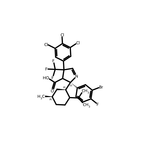 CC(C)C1CC[C@@H](C)C[C@H]1[C@]1(c2ccc(F)c(Br)c2)N=CC(c2cc(Cl)c(Cl)c(Cl)c2)(C(F)(F)F)C1C(=O)O